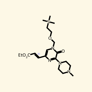 CCOC(=O)/C=C/c1cn(COCC[Si](C)(C)C)c(=O)c(N2CCN(C)CC2)n1